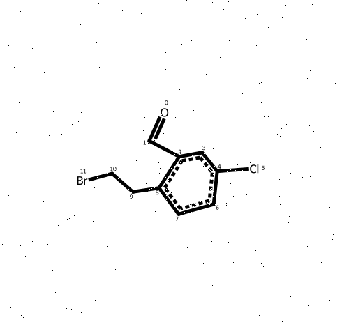 O=Cc1cc(Cl)ccc1CCBr